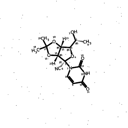 C[C@@H](O)[C@H]1O[C@@](C#N)(n2ccc(=O)[nH]c2=O)[C@@H]2OC(C)(C)O[C@H]12